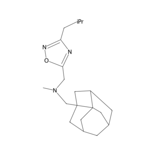 CC(C)Cc1noc(CN(C)CC23CC4CC5CC(C2)C3(C5)C4)n1